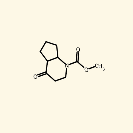 COC(=O)N1CCC(=O)C2CCCC21